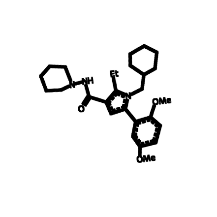 CCc1c(C(=O)NN2CCCCC2)cc(-c2cc(OC)ccc2OC)n1CC1CCCCC1